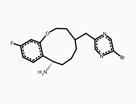 N[C@H]1CCCC(Cc2cnc(Br)cn2)CCOc2cc(F)ccc21